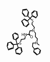 CN(CCCN(CCSC(c1ccccc1)(c1ccccc1)c1ccccc1)CC(=O)NCCSC(c1ccccc1)(c1ccccc1)c1ccccc1)CCc1ccccc1